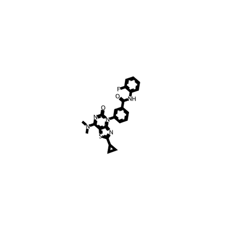 CN(C)c1nc(=O)n(-c2cccc(C(=O)Nc3ccccc3F)c2)c2nc(C3CC3)sc12